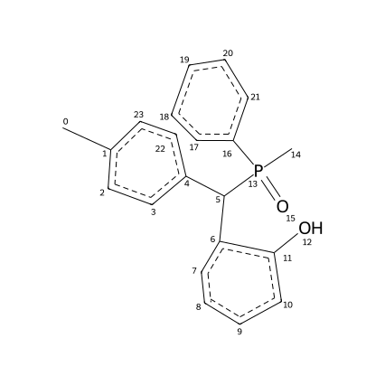 Cc1ccc(C(c2ccccc2O)P(C)(=O)c2ccccc2)cc1